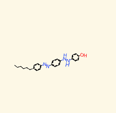 CCCCCCc1ccc(/N=N/c2ccc(NNc3ccc(O)cc3)cc2)cc1